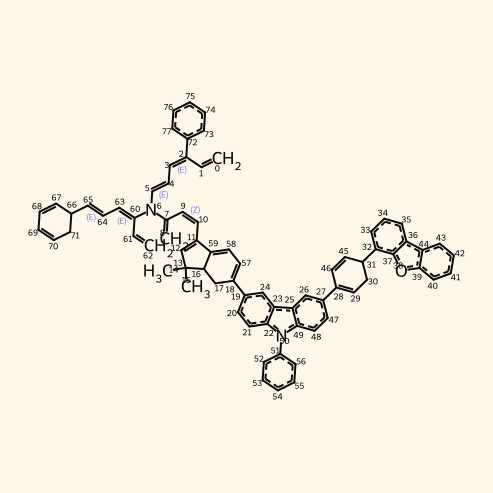 C=C/C(=C\C=C\N(C(=C)/C=C\C1=CC(C)(C)C2CC(c3ccc4c(c3)c3cc(C5=CCC(c6cccc7c6oc6ccccc67)C=C5)ccc3n4-c3ccccc3)=CC=C12)/C(C=C)=C/C=C/C1C=CC=CC1)c1ccccc1